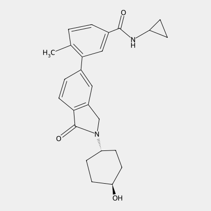 Cc1ccc(C(=O)NC2CC2)cc1-c1ccc2c(c1)CN([C@H]1CC[C@H](O)CC1)C2=O